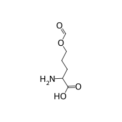 NC(CCCOC=O)C(=O)O